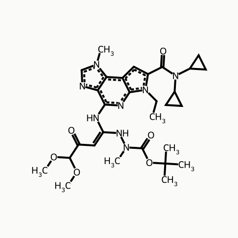 CCn1c(C(=O)N(C2CC2)C2CC2)cc2c3c(ncn3C)c(NC(=CC(=O)C(OC)OC)NN(C)C(=O)OC(C)(C)C)nc21